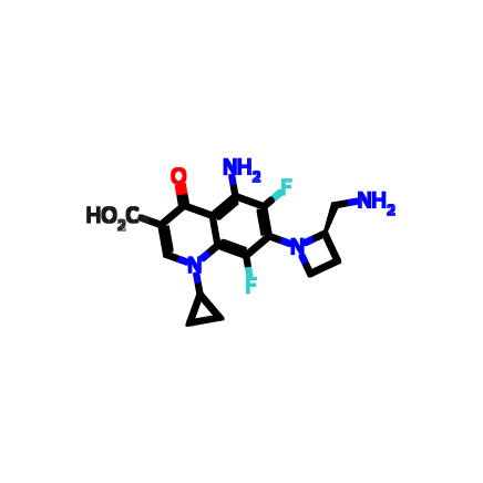 NC[C@H]1CCN1c1c(F)c(N)c2c(=O)c(C(=O)O)cn(C3CC3)c2c1F